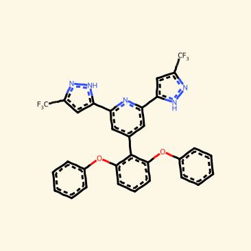 FC(F)(F)c1cc(-c2cc(-c3c(Oc4ccccc4)cccc3Oc3ccccc3)cc(-c3cc(C(F)(F)F)n[nH]3)n2)[nH]n1